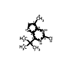 Cc1csc2c(C(C)(C)C)nc(Cl)nc12